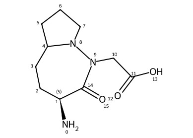 N[C@H]1CCC2CCCN2N(CC(=O)O)C1=O